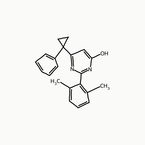 Cc1cccc(C)c1-c1nc(O)cc(C2(c3ccccc3)CC2)n1